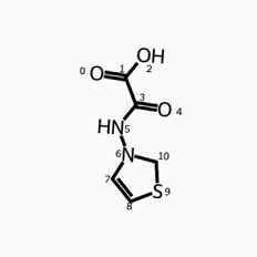 O=C(O)C(=O)NN1C=CSC1